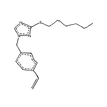 C=Cc1ccc(Cn2cnc(SCCCCCC)n2)cc1